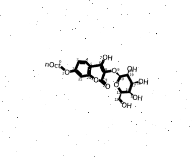 CCCCCCCCOc1ccc2c(O)c(O[C@@H]3O[C@H](CO)[C@H](O)[C@H](O)[C@H]3O)c(=O)oc2c1